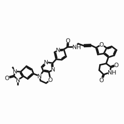 Cn1c(=O)n(C)c2cc(N3CCOc4nc(-c5ccc(C(=O)NCC#Cc6cc7c(C8CCC(=O)NC8=O)cccc7o6)nc5)ncc43)ccc21